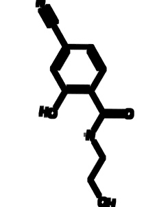 N#Cc1ccc(C(=O)[N]CCO)c(O)c1